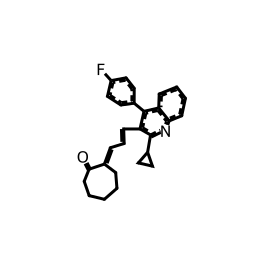 O=C1CCCCCC1=CC=Cc1c(C2CC2)nc2ccccc2c1-c1ccc(F)cc1